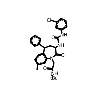 Cc1ccc2c(c1)N(CC(=O)NC(C)(C)C)C(=O)C(NC(=O)Nc1cccc(Cl)c1)CC2c1ccccc1